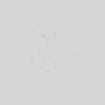 Cc1cc(C(C)Nc2cccc3cc(C(=O)O)sc23)c2oc(N3CCC(C)(C)CC3)cc(=O)c2c1